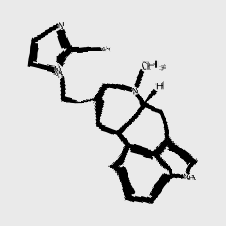 CC(C)c1nccn1C[C@@H]1CC2c3cccc4[nH]cc(c34)C[C@H]2N(C)C1